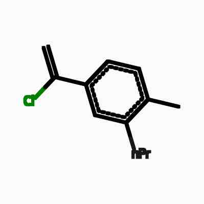 C=C(Cl)c1ccc(C)c(CCC)c1